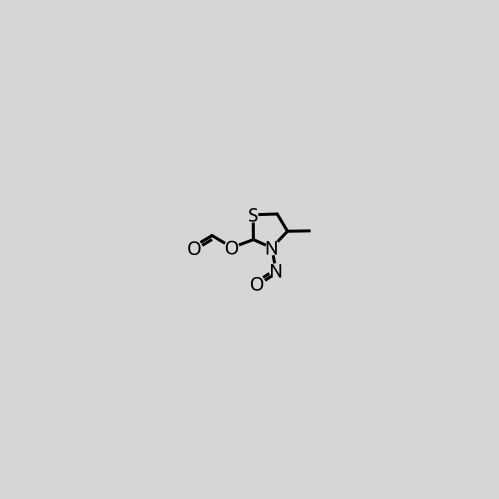 CC1CSC(OC=O)N1N=O